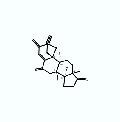 C#CC[C@]12CCC(=C)C=C1C(=C)C[C@@H]1[C@@H]2CC[C@]2(C)C(=O)CC[C@@H]12